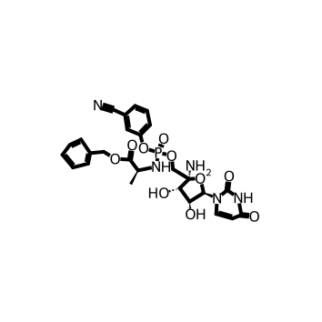 C[C@H](NP(=O)(OC[C@@]1(N)O[C@@H](n2ccc(=O)[nH]c2=O)[C@H](O)[C@@H]1O)Oc1cccc(C#N)c1)C(=O)OCc1ccccc1